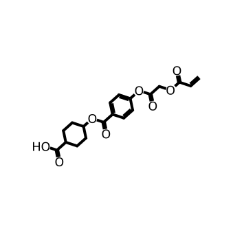 C=CC(=O)OCC(=O)Oc1ccc(C(=O)OC2CCC(C(=O)O)CC2)cc1